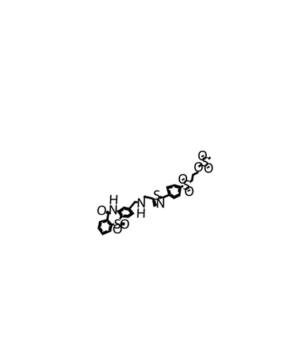 CS(=O)(=O)OCCCS(=O)(=O)c1ccc(-c2ncc(CNCc3ccc4c(c3)NC(=O)c3ccccc3S4(=O)=O)s2)cc1